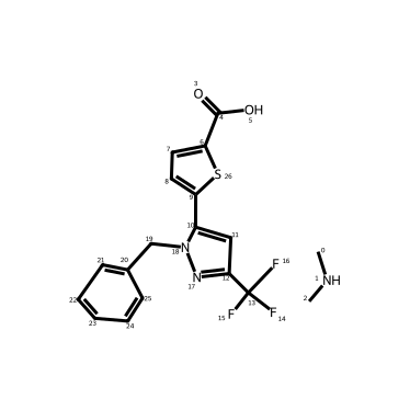 CNC.O=C(O)c1ccc(-c2cc(C(F)(F)F)nn2Cc2ccccc2)s1